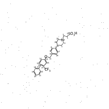 O=S(=O)(O)CCN1CCC(c2ccc(COc3ccc(-c4ccccc4)c(C(F)(F)F)c3)cc2)CC1